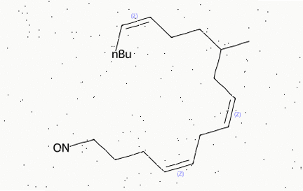 CCCC/C=C\CCC(C)C/C=C\C/C=C\CCCN=O